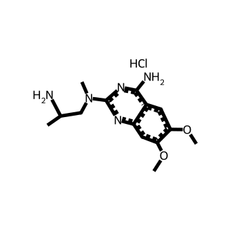 COc1cc2nc(N(C)CC(C)N)nc(N)c2cc1OC.Cl